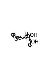 O=C(COCC=C1C[C@H]2C[C@@H](O)[C@H](C=C[C@@H](O)C3CCCC3)[C@H]2C1)N1CCCCC1